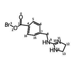 O=C(OBr)c1ccc(CNC2=NCCN2)cc1